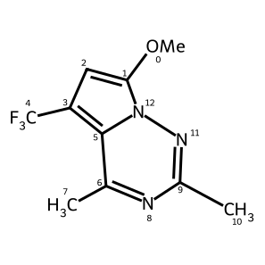 COc1cc(C(F)(F)F)c2c(C)nc(C)nn12